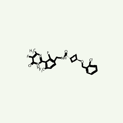 Cc1nc(-c2c(C(F)(F)F)ccc(CNC(=O)[C@H]3C[C@H](OCc4ccccc4Cl)C3)c2F)[nH]c(=O)c1F